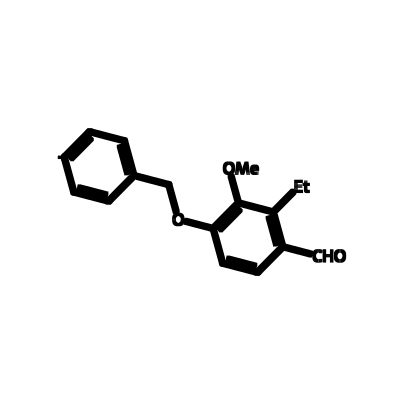 CCc1c(C=O)ccc(OCc2cc[c]cc2)c1OC